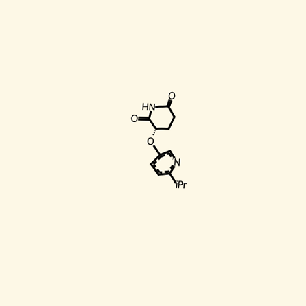 CC(C)c1ccc(O[C@H]2CCC(=O)NC2=O)cn1